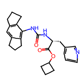 O=C(Nc1c2c(cc3c1CCC3)CCC2)N[C@H](Cc1cccnc1)C(=O)OC1CCC1